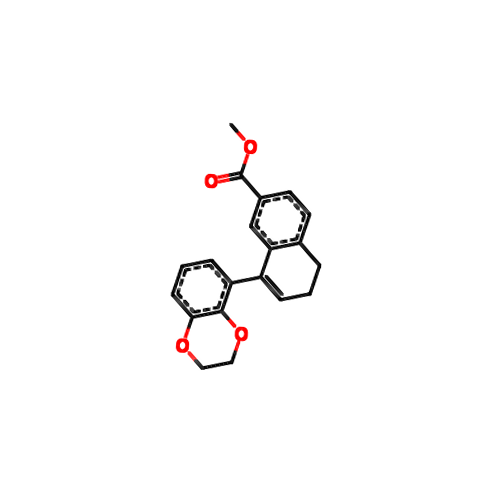 COC(=O)c1ccc2c(c1)C(c1cccc3c1OCCO3)=CCC2